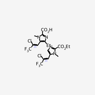 CCOC(=O)c1ncc(/C=C(\Cl)C(F)(F)F)n1C.CCc1nc(C(=O)O)n(C)c1/C=C(\Cl)C(F)(F)F